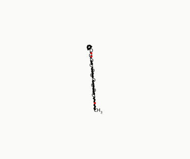 CCCCCCCCCOCCOCCOCCOCCOCCOCCOCCOCCOCCOc1ccccc1